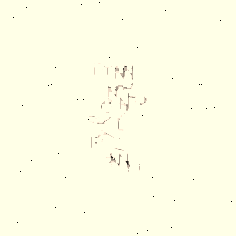 CCn1cc(-c2ccc(Oc3nc4c(cnn4C(C)C)c(=O)n3C)c(F)c2F)cn1